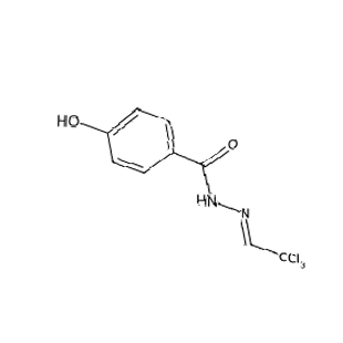 O=C(NN=CC(Cl)(Cl)Cl)c1ccc(O)cc1